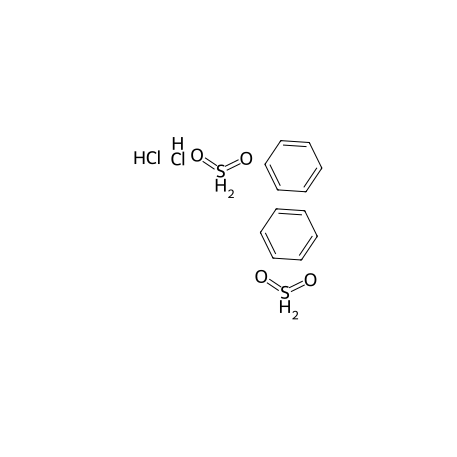 Cl.Cl.O=[SH2]=O.O=[SH2]=O.c1ccccc1.c1ccccc1